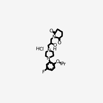 CC(C)Oc1ccc(F)cc1N1CCN(CC(O)CN2C(=O)CCCC2=O)CC1.Cl